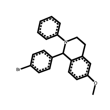 COc1ccc2c(c1)CCN(c1ccccc1)C2c1ccc(Br)cc1